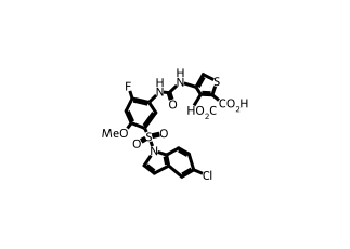 COc1cc(F)c(NC(=O)Nc2csc(C(=O)O)c2C(=O)O)cc1S(=O)(=O)n1ccc2cc(Cl)ccc21